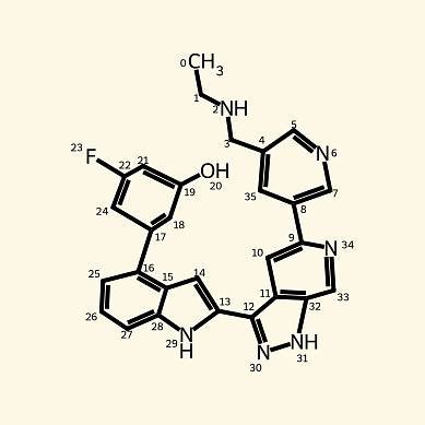 CCNCc1cncc(-c2cc3c(-c4cc5c(-c6cc(O)cc(F)c6)cccc5[nH]4)n[nH]c3cn2)c1